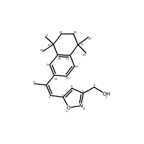 C/C(=C/c1cc(CO)no1)c1ccc2c(c1)C(C)(C)CCC2(C)C